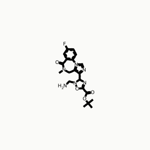 CN1Cc2c(C3N=C(C(=O)OC(C)(C)C)ON3CN)ncn2-c2ccc(F)cc2C1=O